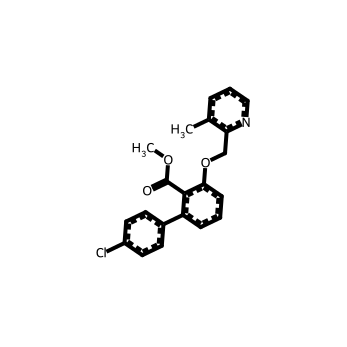 COC(=O)c1c(OCc2ncccc2C)cccc1-c1ccc(Cl)cc1